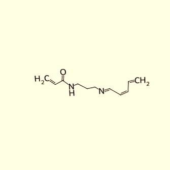 C=C/C=C\C=N\CCCNC(=O)C=C